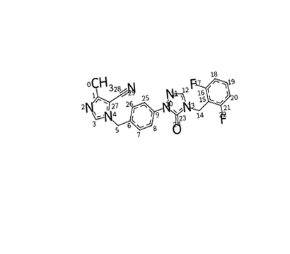 Cc1ncn(Cc2ccc(-n3ncn(Cc4c(F)cccc4F)c3=O)cc2)c1C#N